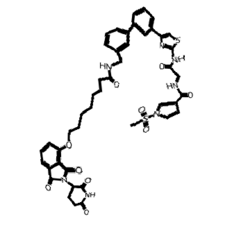 CS(=O)(=O)n1ccc(C(=O)NCC(=O)Nc2nc(-c3cccc(-c4cccc(CNC(=O)CCCCCCCOc5cccc6c5C(=O)N(C5CCC(=O)NC5=O)C6=O)c4)c3)cs2)c1